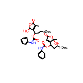 CCCCCCCCCCCCC(OC(=O)Nc1ccccc1)C1=C(C)C(=O)OC1O.CCCCCCCCCCCCC(OC(=O)Nc1ccccc1)C1=CC(=O)OC1(C)O